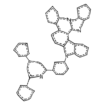 c1ccc(-c2cc(-c3ccccc3)nc(-c3cccc(-n4c5ccccc5c5c6c(ccc54)c4ccccc4n4c5ccccc5nc64)c3)c2)cc1